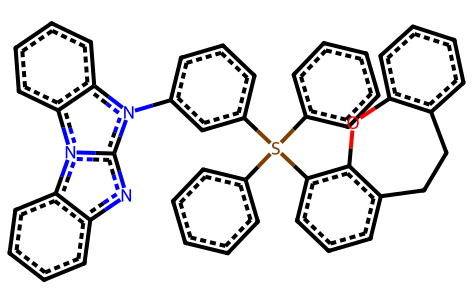 c1ccc(S(c2ccccc2)(c2cccc(-n3c4ccccc4n4c5ccccc5nc34)c2)c2cccc3c2Oc2ccccc2CC3)cc1